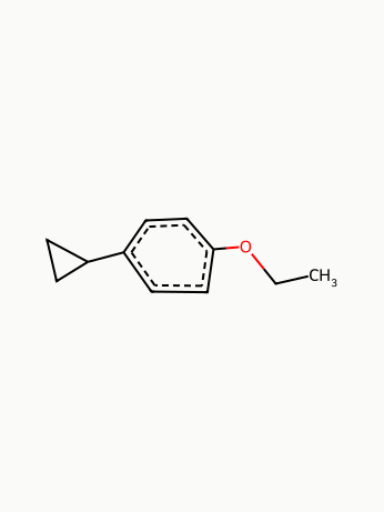 CCOc1ccc(C2CC2)cc1